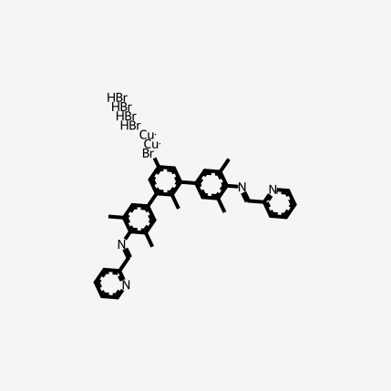 Br.Br.Br.Br.Cc1cc(-c2cc(Br)cc(-c3cc(C)c(N=Cc4ccccn4)c(C)c3)c2C)cc(C)c1N=Cc1ccccn1.[Cu].[Cu]